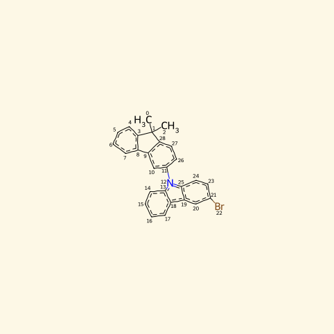 CC1(C)c2ccccc2-c2cc(-n3c4ccccc4c4cc(Br)ccc43)ccc21